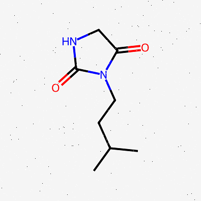 CC(C)CCN1C(=O)CNC1=O